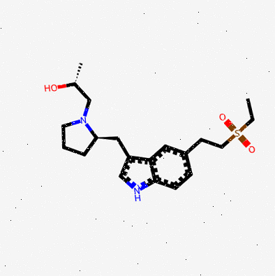 CCS(=O)(=O)CCc1ccc2[nH]cc(C[C@H]3CCCN3C[C@@H](C)O)c2c1